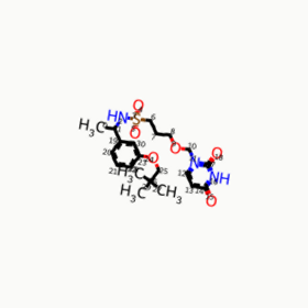 CC(NS(=O)(=O)CCCOCn1ccc(=O)[nH]c1=O)c1cccc(OCC(C)(C)C)c1